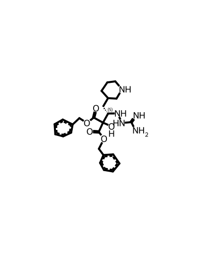 N=C(N)NN[C@@H](CC1CCCNC1)C(O)(C(=O)OCc1ccccc1)C(=O)OCc1ccccc1